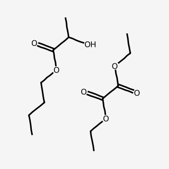 CCCCOC(=O)C(C)O.CCOC(=O)C(=O)OCC